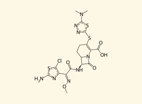 CON=C(C(=O)N[C@@H]1C(=O)N2C(C(=O)O)=C(Sc3nnc(N(C)C)s3)CCC12)c1nc(N)sc1Cl